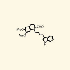 COc1cc2c(cc1OC)C(CCCCc1c[nH]c3ccccc13)N(C=O)CC2